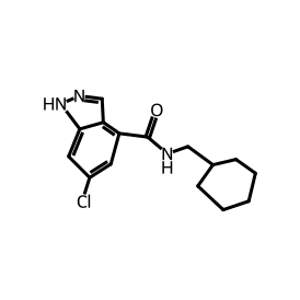 O=C(NCC1CCCCC1)c1cc(Cl)cc2[nH]ncc12